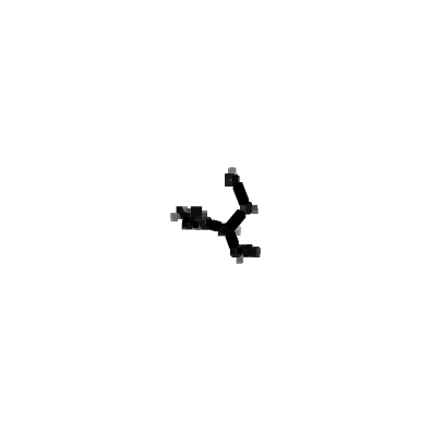 CC[O][Al]([O]C)[O]C.[NaH]